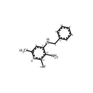 Cc1cc(NCc2ccccc2)c(N)c(Br)n1